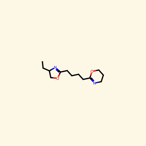 CCC1COC(CCCCC2=NCCCO2)=N1